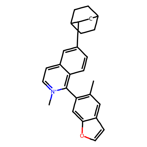 Cc1cc2ccoc2cc1-c1c2ccc(C3CC4CCC3CC4)cc2cc[n+]1C